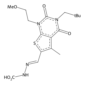 COCCn1c(=O)n(CC(C)(C)C)c(=O)c2c(C)c(C=NNC(=O)O)sc21